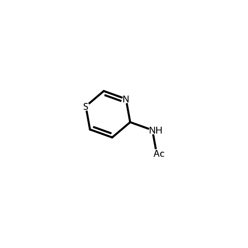 CC(=O)NC1C=CSC=N1